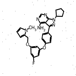 Cn1cccc1COc1cc(F)cc(Oc2ccc(-c3nn(C4CCCC4)c4ncnc(N)c34)cc2)c1